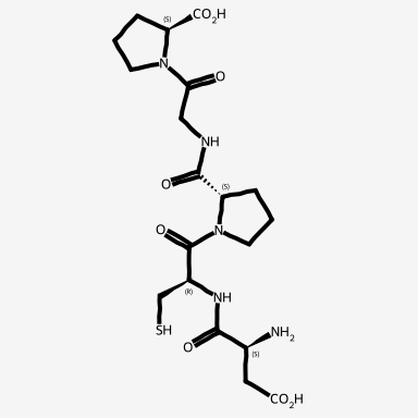 N[C@@H](CC(=O)O)C(=O)N[C@@H](CS)C(=O)N1CCC[C@H]1C(=O)NCC(=O)N1CCC[C@H]1C(=O)O